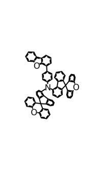 c1ccc2c(c1)Oc1ccccc1C21c2ccccc2-c2c(N(c3ccc(-c4cccc5c4oc4ccccc45)cc3)c3cccc4c3-c3ccccc3C43c4ccccc4Oc4ccccc43)cccc21